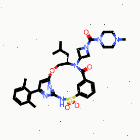 Cc1cccc(C)c1-c1cc2nc(n1)NS(=O)(=O)c1cccc(c1)C(=O)N(C1CN(C(=O)N3CCN(C)CC3)C1)[C@H](CC(C)C)CO2